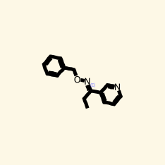 CC/C(=N\OCc1ccccc1)c1cccnc1